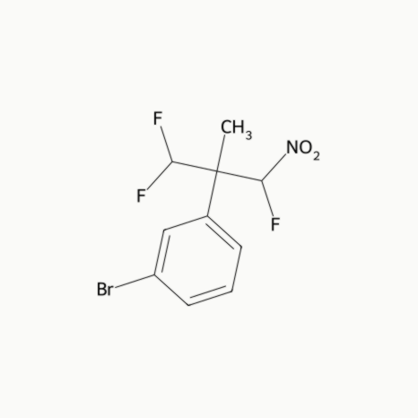 CC(c1cccc(Br)c1)(C(F)F)C(F)[N+](=O)[O-]